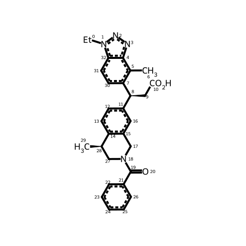 CCn1nnc2c(C)c([C@@H](CC(=O)O)c3ccc4c(c3)CN(C(=O)c3ccccc3)C[C@H]4C)ccc21